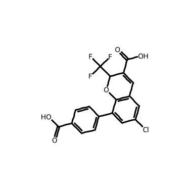 O=C(O)C1=Cc2cc(Cl)cc(-c3ccc(C(=O)O)cc3)c2OC1C(F)(F)F